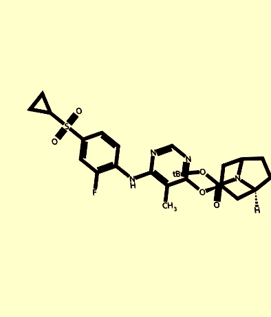 Cc1c(Nc2ccc(S(=O)(=O)C3CC3)cc2F)ncnc1O[C@H]1CC2CC[C@@H](C1)N2C(=O)OC(C)(C)C